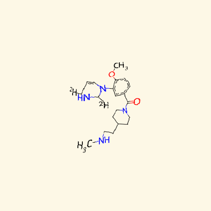 [2H]C1C=CN(c2cc(C(=O)N3CCC(CCNC)CC3)ccc2OC)C([2H])N1